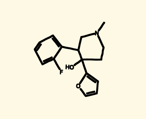 CN1CCC(O)(c2ccco2)C(c2ccccc2F)C1